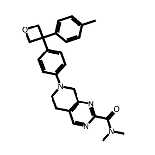 Cc1ccc(C2(c3ccc(N4CCc5cnc(C(=O)N(C)C)nc5C4)cc3)COC2)cc1